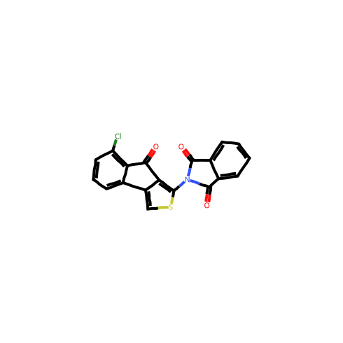 O=C1c2c(Cl)cccc2-c2csc(N3C(=O)c4ccccc4C3=O)c21